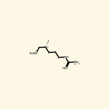 CC(=O)NC[C@H](C)CCCNC(=N)N